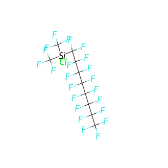 FC(F)(F)C(F)(F)C(F)(F)C(F)(F)C(F)(F)C(F)(F)C(F)(F)C(F)(F)[Si](Cl)(C(F)(F)F)C(F)(F)F